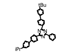 CC(C)c1ccc(-c2ccc(-c3nc(-c4ccccc4)nc(-c4ccc(-c5ccc(C(C)(C)C)cc5)cc4)n3)cc2)cc1